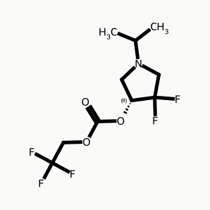 CC(C)N1C[C@@H](OC(=O)OCC(F)(F)F)C(F)(F)C1